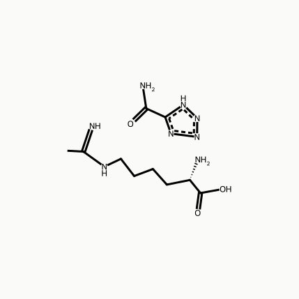 CC(=N)NCCCC[C@H](N)C(=O)O.NC(=O)c1nnn[nH]1